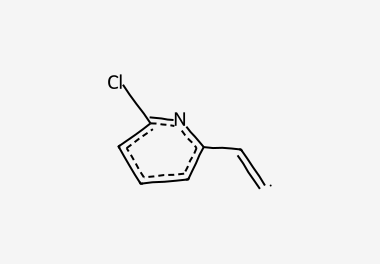 [CH]=Cc1cccc(Cl)n1